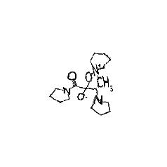 C[N+]1(OC([O])(CN2CCCC2)C(=O)N2CCCC2)CCCCC1